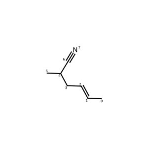 CC=CCC(C)C#N